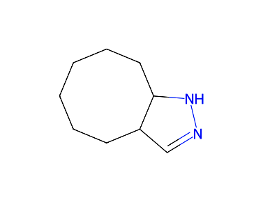 C1=NNC2CCCCCCC12